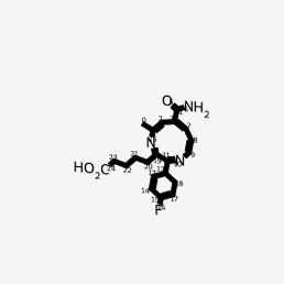 Cc1cc(C(N)=O)cccnc(C2C=CC(F)=CC2)c(CCCCC(=O)O)n1